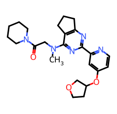 CN(CC(=O)N1CCCCC1)c1nc(-c2cc(OC3CCOC3)ccn2)nc2c1CCC2